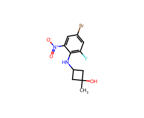 CC1(O)CC(Nc2c(F)cc(Br)cc2[N+](=O)[O-])C1